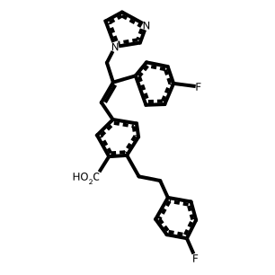 O=C(O)c1cc(/C=C(/Cn2ccnc2)c2ccc(F)cc2)ccc1CCc1ccc(F)cc1